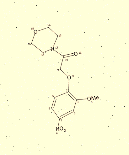 COc1cc([N+](=O)[O-])ccc1OCC(=O)N1CCOCC1